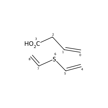 C=CCC(=O)O.C=CSC=C